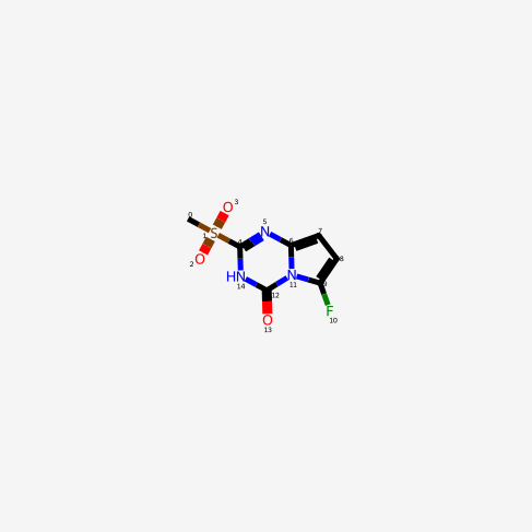 CS(=O)(=O)c1nc2ccc(F)n2c(=O)[nH]1